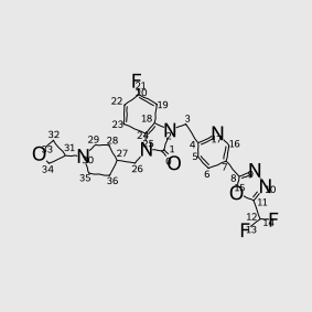 O=c1n(Cc2ccc(-c3nnc(C(F)F)o3)cn2)c2cc(F)ccc2n1CC1CCN(C2COC2)CC1